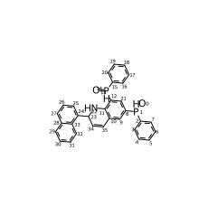 O=[PH](c1ccccc1)c1cc2c(c([PH](=O)c3ccccc3)c1)NC(c1cccc3ccccc13)C=C2